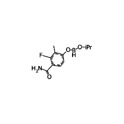 Cc1c(OBOC(C)C)ccc(C(N)=O)c1F